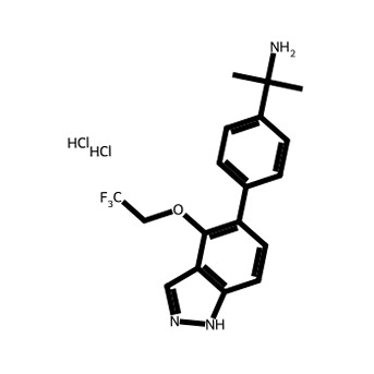 CC(C)(N)c1ccc(-c2ccc3[nH]ncc3c2OCC(F)(F)F)cc1.Cl.Cl